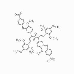 COC1=CC=C(C(C=Cc2c(OC)cc(OC)cc2OC)S(=O)(=O)C(C=Cc2c(OC)cc(OC)cc2OC)C2=CC=C(OC)C(=Nc3ccc([N+](=O)[O-])cc3)C2)CC1=Nc1ccc([N+](=O)[O-])cc1